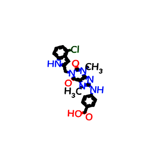 Cn1c(Nc2ccc(C(=O)O)cc2)nc2c1c(=O)n(Cc1cc3c(Cl)cccc3[nH]1)c(=O)n2C